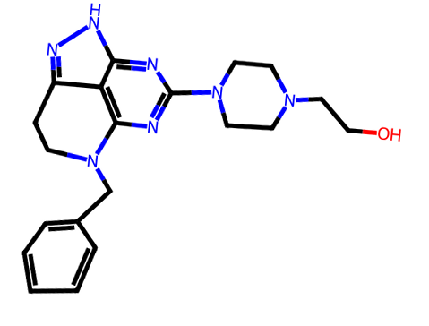 OCCN1CCN(c2nc3c4c(n[nH]c4n2)CCN3Cc2ccccc2)CC1